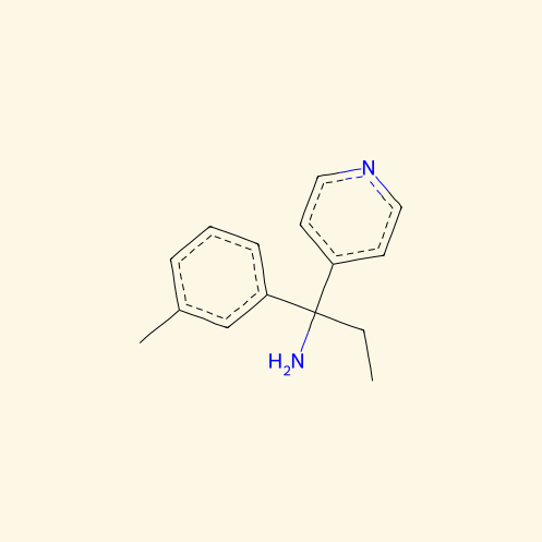 CCC(N)(c1ccncc1)c1cccc(C)c1